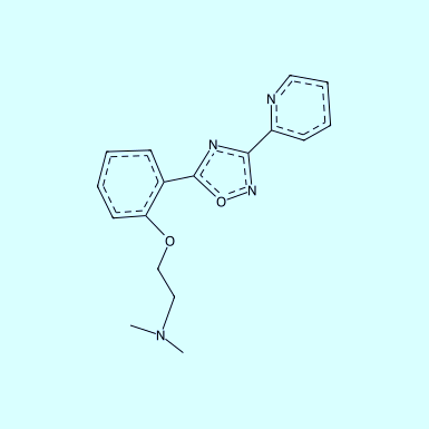 CN(C)CCOc1ccccc1-c1nc(-c2ccccn2)no1